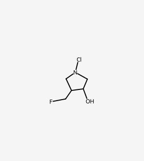 OC1CN(Cl)CC1CF